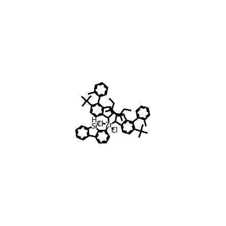 CCC(C)C1=Cc2c(ccc(C(C)(C)C)c2-c2ccccc2C)[CH]1[Zr]([Cl])([Cl])([c]1cccc2c1[SiH2]c1ccccc1-2)[CH]1C(C(C)CC)=Cc2c1ccc(C(C)(C)C)c2-c1ccccc1C